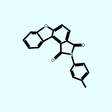 Cc1ccc(N2C(=O)c3ccc4oc5ccccc5c4c3C2=O)cc1